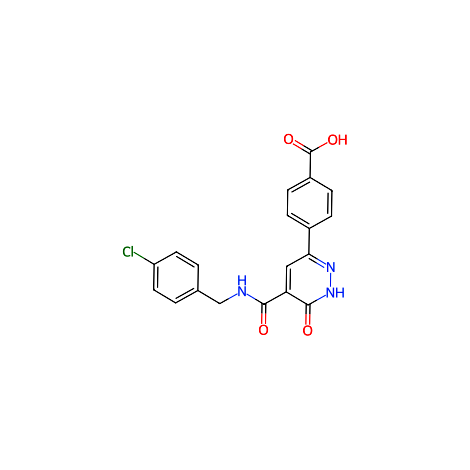 O=C(O)c1ccc(-c2cc(C(=O)NCc3ccc(Cl)cc3)c(=O)[nH]n2)cc1